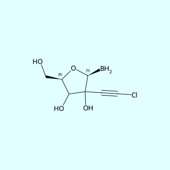 B[C@@H]1O[C@H](CO)C(O)C1(O)C#CCl